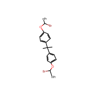 CCCC(Br)Oc1ccc(C(C)(C)c2ccc(OC(Br)CCC)cc2)cc1